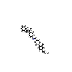 CCCCc1ccc(C2CCC(/C=C/C3CCC(C(F)(F)Oc4ccccc4)CC3)CC2)c(F)c1